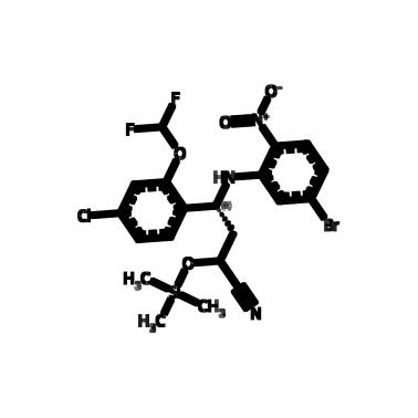 C[Si](C)(C)OC(C#N)C[C@@H](Nc1cc(Br)ccc1[N+](=O)[O-])c1ccc(Cl)cc1OC(F)F